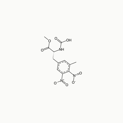 COC(=O)[C@@H](Cc1cc(C)c([N+](=O)[O-])c([N+](=O)[O-])c1)NC(=O)O